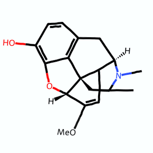 COC1=CC(C)C2[C@H]3Cc4ccc(O)c5c4[C@@]2(CCN3C)[C@H]1O5